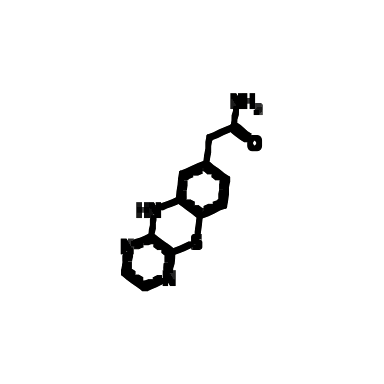 NC(=O)Cc1ccc2c(c1)Nc1nccnc1S2